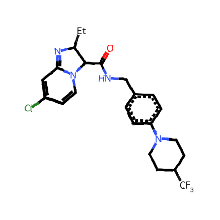 CCC1N=C2C=C(Cl)C=CN2C1C(=O)NCc1ccc(N2CCC(C(F)(F)F)CC2)cc1